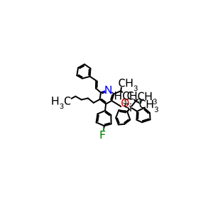 CCCCCc1c(C=Cc2ccccc2)nc(C(C)C)c(CO[Si](c2ccccc2)(c2ccccc2)C(C)(C)C)c1-c1ccc(F)cc1